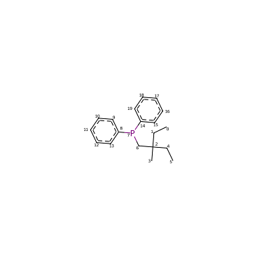 CCC(C)(CC)CP(c1ccccc1)c1ccccc1